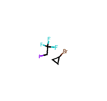 BrC1CC1.FC(F)(F)CI